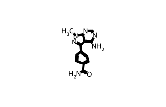 Cn1nc(-c2ccc(C(N)=O)cc2)c2c(N)ncnc21